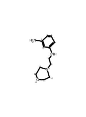 Nc1cccc(NCCN2CCOCC2)c1